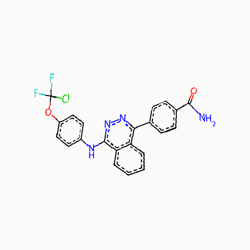 NC(=O)c1ccc(-c2nnc(Nc3ccc(OC(F)(F)Cl)cc3)c3ccccc23)cc1